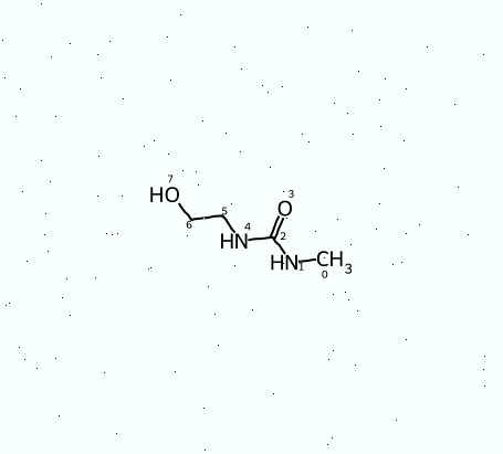 CNC(=O)NCCO